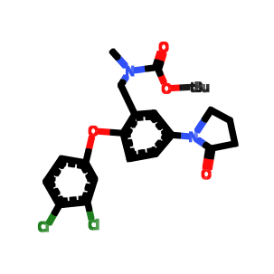 CN(Cc1cc(N2CCCC2=O)ccc1Oc1ccc(Cl)c(Cl)c1)C(=O)OC(C)(C)C